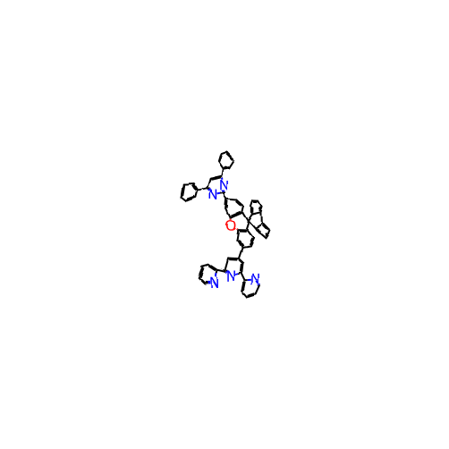 c1ccc(-c2cc(-c3ccccc3)nc(-c3ccc4c(c3)Oc3cc(-c5cc(-c6ccccn6)nc(-c6ccccn6)c5)ccc3C43c4ccccc4-c4ccccc43)n2)cc1